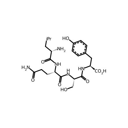 CC(C)C[C@H](N)C(=O)N[C@@H](CCC(N)=O)C(=O)N[C@@H](CO)C(=O)N[C@@H](Cc1ccc(O)cc1)C(=O)O